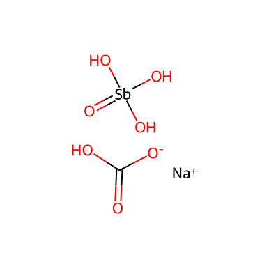 O=C([O-])O.[Na+].[O]=[Sb]([OH])([OH])[OH]